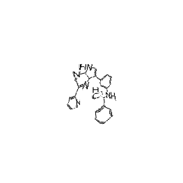 C[C@H](Nc1cccc(C2=CNC3N=CC(c4ccccn4)=NC23)c1)c1ccccc1